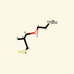 CCCCCCOCC(C)CS